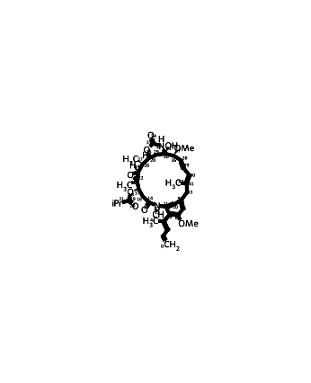 C=C/C=C(\C)c1c(OC)cc2cc1N(C)C(=O)C[C@H](OC(=O)C(C)C)[C@]1(C)O[C@H]1[C@H](C)[C@@H]1C[C@@](O)(NC(=O)O1)[C@H](OC)/C=C/C=C(\C)C2